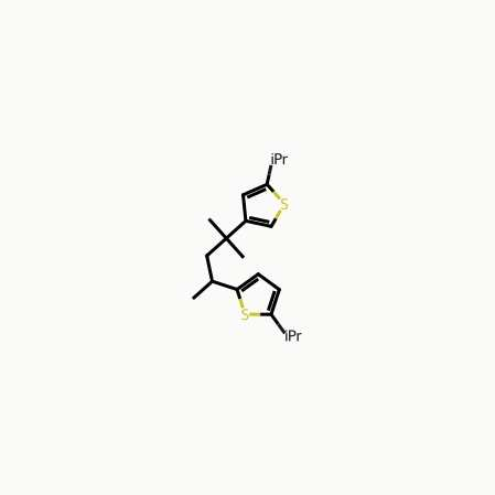 CC(C)c1cc(C(C)(C)CC(C)c2ccc(C(C)C)s2)cs1